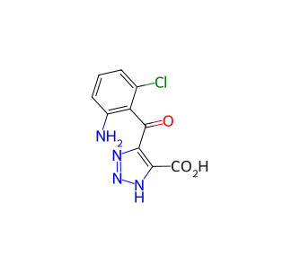 Nc1cccc(Cl)c1C(=O)c1nn[nH]c1C(=O)O